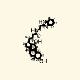 C[C@H](CCC(=O)NCCc1nc2ccccc2[nH]1)[C@H]1CC[C@H]2[C@@H]3CC[C@@H]4C[C@H](O)CC[C@]4(C)[C@H]3C[C@H](O)[C@]12C